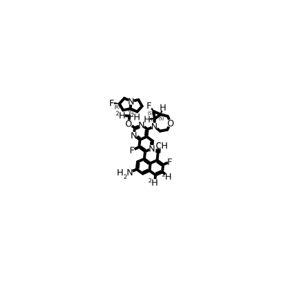 [2H]c1c(F)c(C#C)c2c(-c3ncc4c(N5CCOC[C@H]6[C@H](F)[C@H]65)nc(OC([2H])([2H])[C@@]56CCCN5C[C@H](F)C6)nc4c3F)cc(N)cc2c1[2H]